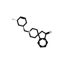 C[C@@H]1C=CC[C@@H](CN2CCC3(CC2)CC(=O)c2ccccc23)C1